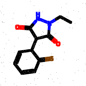 CCN1NC(=O)C(C2C=CC=CC2=S)C1=O